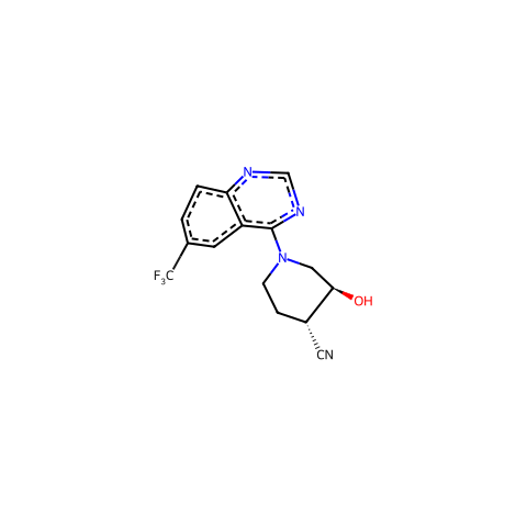 N#C[C@@H]1CCN(c2ncnc3ccc(C(F)(F)F)cc23)C[C@H]1O